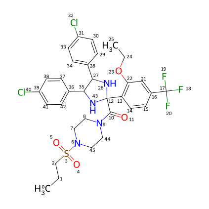 CCCS(=O)(=O)N1CCN(C(=O)C2(c3ccc(C(F)(F)F)cc3OCC)NC(c3ccc(Cl)cc3)C(c3ccc(Cl)cc3)N2)CC1